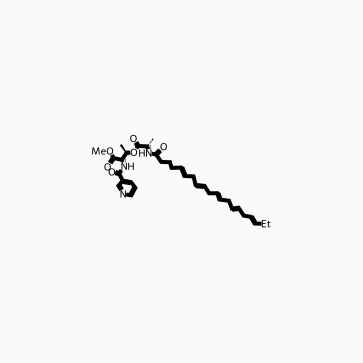 CCC=CCC=CCC=CCC=CCC=CCCCC(=O)N[C@@H](C)C(=O)O[C@H](C)[C@H](NC(=O)c1cccnc1)C(=O)OC